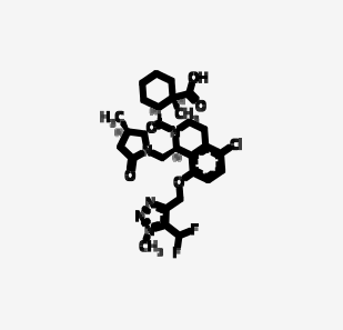 C[C@@H]1CC(=O)N(C[C@@H]2c3c(OCc4nnn(C)c4C(F)F)ccc(Cl)c3CCN2C(=O)[C@@H]2CCCC[C@]2(C)C(=O)O)C1